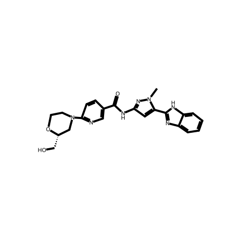 Cn1nc(NC(=O)c2ccc(N3CCO[C@@H](CO)C3)nc2)cc1-c1nc2ccccc2[nH]1